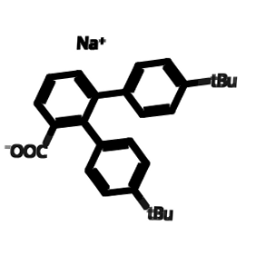 CC(C)(C)c1ccc(-c2cccc(C(=O)[O-])c2-c2ccc(C(C)(C)C)cc2)cc1.[Na+]